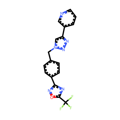 FC(F)(F)c1nc(-c2ccc(Cn3cc(-c4cccnc4)nn3)cc2)no1